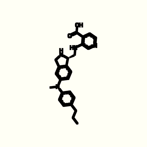 CCCc1ccc(N(C)c2ccc3c(c2)CN[C@@H]3CNc2cnccc2C(=O)O)cc1